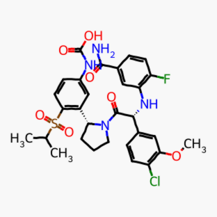 COc1cc([C@@H](Nc2cc(C(N)=O)ccc2F)C(=O)N2CCC[C@@H]2c2cc(NC(=O)O)ccc2S(=O)(=O)C(C)C)ccc1Cl